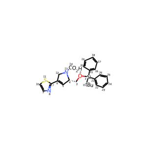 CC(C)(C)[Si](OC[C@@H]1C=C(c2nccs2)CN1C(=O)O)(c1ccccc1)c1ccccc1